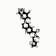 Cc1c(N2CCc3ncc(C(=O)N(C)Cc4ccco4)cc3C2)nn2cnnc2c1C